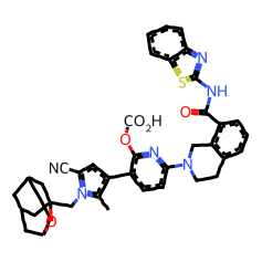 Cc1c(-c2ccc(N3CCc4cccc(C(=O)Nc5nc6ccccc6s5)c4C3)nc2OC(=O)O)cc(C#N)n1CC12CC3CC(CC(C3)O1)C2